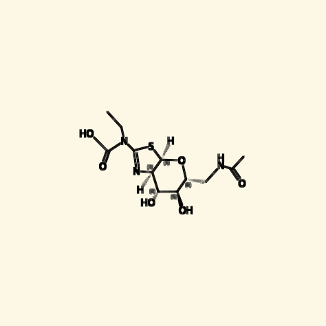 CCN(C(=O)O)C1=N[C@@H]2[C@@H](O)[C@H](O)[C@@H](CNC(C)=O)O[C@@H]2S1